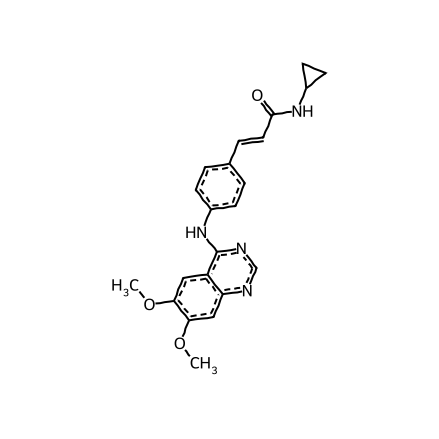 COc1cc2ncnc(Nc3ccc(C=CC(=O)NC4CC4)cc3)c2cc1OC